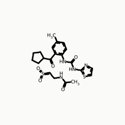 CC(=O)NCC=S(=O)=O.Cc1ccc(NC(=O)Nc2nccs2)c(C(=O)C2CCCC2)c1